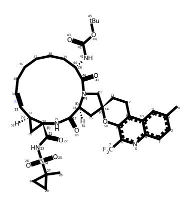 Cc1ccc2nc(C(F)(F)F)c3c(c2c1)CC[C@]1(C[C@H]2C(=O)N[C@]4(C(=O)NS(=O)(=O)C5(C)CC5)C[C@H]4/C=C\CCCCC[C@H](NC(=O)OC(C)(C)C)C(=O)N2C1)O3